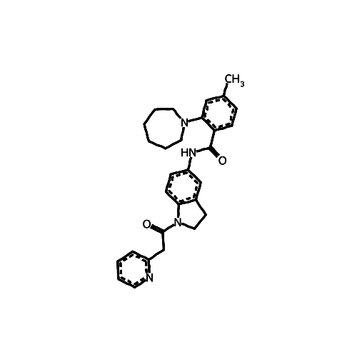 Cc1ccc(C(=O)Nc2ccc3c(c2)CCN3C(=O)Cc2ccccn2)c(N2CCCCCC2)c1